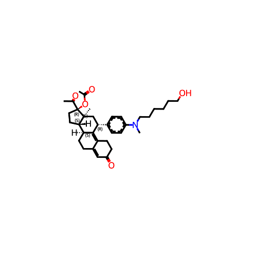 CC(=O)O[C@]1(C(C)=O)CC[C@H]2[C@@H]3CCC4=CC(=O)CCC4=C3[C@@H](c3ccc(N(C)CCCCCCO)cc3)C[C@@]21C